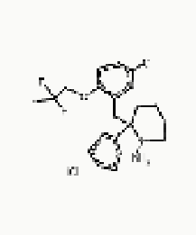 Cl.NN1CCCCC1(Cc1cc(Cl)ccc1OCC(F)(F)F)c1ccccc1